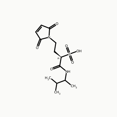 CC(C)C(C)NC(=O)[C@@H](CCN1C(=O)C=CC1=O)S(=O)(=O)O